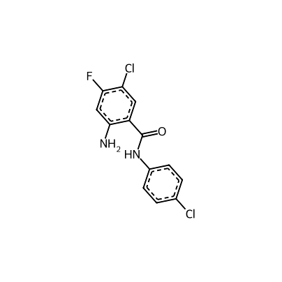 Nc1cc(F)c(Cl)cc1C(=O)Nc1ccc(Cl)cc1